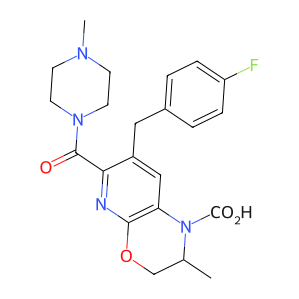 CC1COc2nc(C(=O)N3CCN(C)CC3)c(Cc3ccc(F)cc3)cc2N1C(=O)O